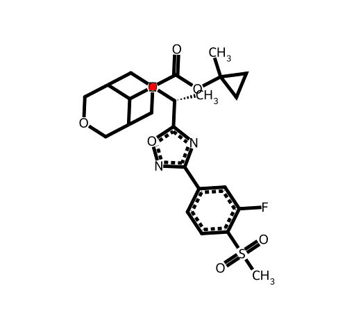 C[C@@H](OC1C2COCC1CN(C(=O)OC1(C)CC1)C2)c1nc(-c2ccc(S(C)(=O)=O)c(F)c2)no1